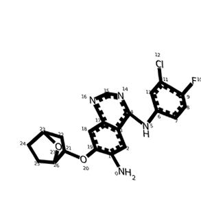 Nc1cc2c(Nc3ccc(F)c(Cl)c3)ncnc2cc1OC1CC2CCC1O2